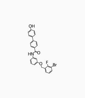 O=C(Nc1cccc(OCc2cccc(Br)c2F)c1)c1ccc(-c2ccc(O)cc2)cc1